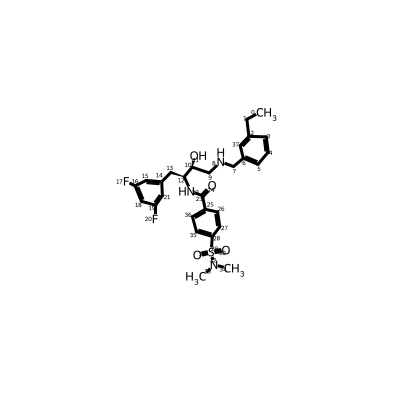 CCc1cccc(CNC[C@H](O)[C@H](Cc2cc(F)cc(F)c2)NC(=O)c2ccc(S(=O)(=O)N(C)C)cc2)c1